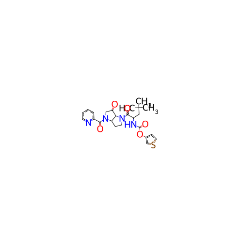 CC(C)(C)CC(NC(=O)Oc1ccsc1)C(=O)N1CCC2C1C(=O)CN2C(=O)c1ccccn1